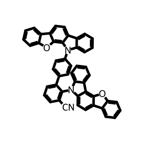 N#Cc1cccc(-c2ccc(-n3c4ccccc4c4ccc5c6ccccc6oc5c43)cc2)c1-n1c2ccccc2c2c3oc4ccccc4c3ccc21